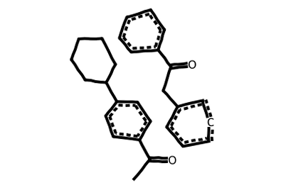 CC(=O)c1ccc(C2CCCCC2)cc1.O=C(Cc1ccccc1)c1ccccc1